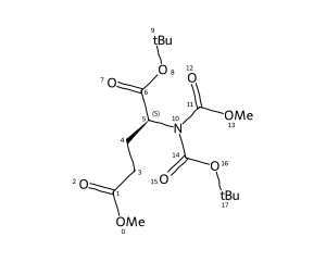 COC(=O)CC[C@@H](C(=O)OC(C)(C)C)N(C(=O)OC)C(=O)OC(C)(C)C